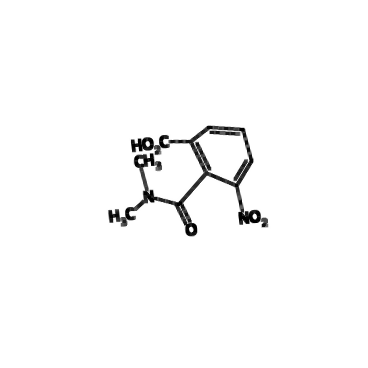 CN(C)C(=O)c1c(C(=O)O)cccc1[N+](=O)[O-]